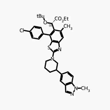 CCOC(=O)[C@@H](OC(C)(C)C)c1c(C)cc2nc(N3CCCC(c4ccc5c(cnn5C)c4)C3)sc2c1-c1ccc(Cl)cc1